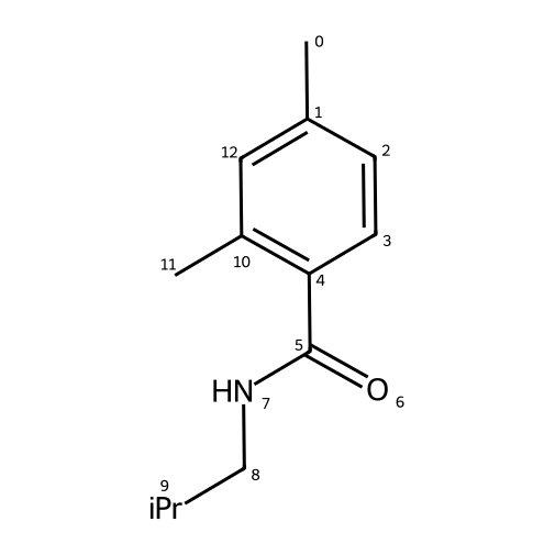 Cc1ccc(C(=O)NCC(C)C)c(C)c1